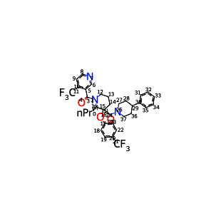 CCC[C@H]1N(C(=O)c2cnccc2C(F)(F)F)CCC[C@@]1(Oc1ccc(C(F)(F)F)cc1)C(=O)N1CCC(c2ccccc2)CC1